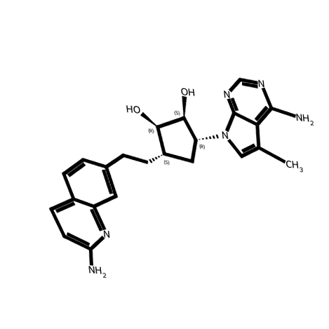 Cc1cn([C@@H]2C[C@H](CCc3ccc4ccc(N)nc4c3)[C@@H](O)[C@H]2O)c2ncnc(N)c12